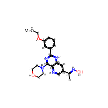 COCOc1cccc(-c2nc(N3CCOCC3)c3ncc(C(C)=NO)cc3n2)c1